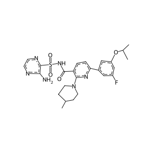 CC1CCN(c2nc(-c3cc(F)cc(OC(C)C)c3)ccc2C(=O)NS(=O)(=O)c2nccnc2N)CC1